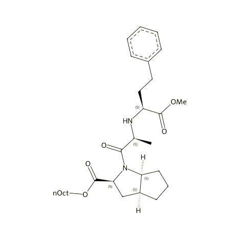 CCCCCCCCOC(=O)[C@@H]1C[C@@H]2CCC[C@@H]2N1C(=O)[C@H](C)N[C@@H](CCc1ccccc1)C(=O)OC